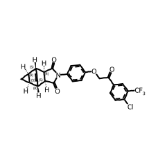 O=C(COc1ccc(N2C(=O)[C@@H]3[C@@H]4C=C[C@@H]([C@H]5C[C@@H]45)[C@@H]3C2=O)cc1)c1ccc(Cl)c(C(F)(F)F)c1